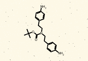 CC(C)(C)OC(=O)N(CCc1ccc(N)cc1)CCc1ccc(N)cc1